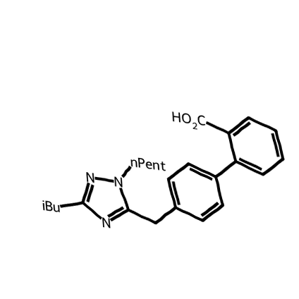 CCCCCn1nc(C(C)CC)nc1Cc1ccc(-c2ccccc2C(=O)O)cc1